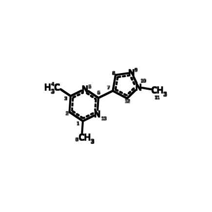 Cc1cc(C)nc(-c2cnn(C)c2)n1